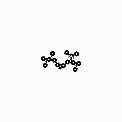 CC1(C)c2ccc(-c3ccc4c(c3)c3cc5c(cc3n4-c3ccccc3)c3ccccc3n5-c3ccccc3)cc2-c2cc(-c3ccc4c(c3)c3cc5c(cc3n4-c3nc(-c4ccccc4)cc(-c4ccccc4)n3)c3ccccc3n5-c3ccccc3)ccc21